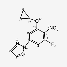 O=[N+]([O-])c1c(F)cc(-n2nccn2)cc1OC1CC1